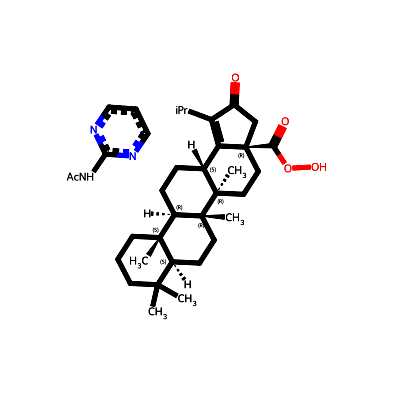 CC(=O)Nc1ncccn1.CC(C)C1=C2[C@H]3CC[C@@H]4[C@@]5(C)CCCC(C)(C)[C@@H]5CC[C@@]4(C)[C@]3(C)CC[C@@]2(C(=O)OO)CC1=O